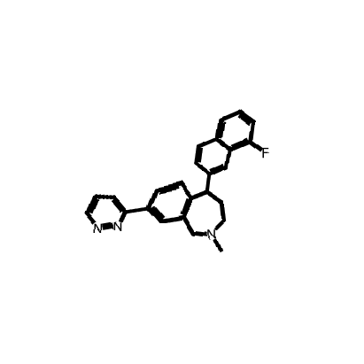 CN1CCC(c2ccc3cccc(F)c3c2)c2ccc(-c3cccnn3)cc2C1